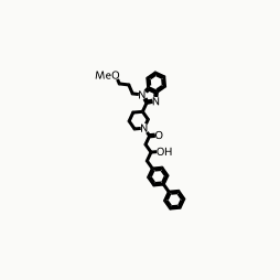 COCCCn1c(C2CCCN(C(=O)CC(O)Cc3ccc(-c4ccccc4)cc3)C2)nc2ccccc21